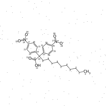 CCCCCCCCCCC(C(=O)O)(c1ccc([N+](=O)[O-])cc1)c1ccc([N+](=O)[O-])cc1